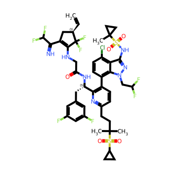 C=C[C@@H]1CC(C(=N)C(F)F)=C(NCC(=O)N[C@@H](Cc2cc(F)cc(F)c2)c2nc(CCC(C)(C)S(=O)(=O)C3CC3)ccc2-c2ccc(Cl)c3c(NS(=O)(=O)C4(C)CC4)nn(CC(F)F)c23)C1(F)F